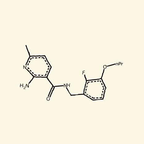 CCCOc1cccc(CNC(=O)c2ccc(C)nc2N)c1F